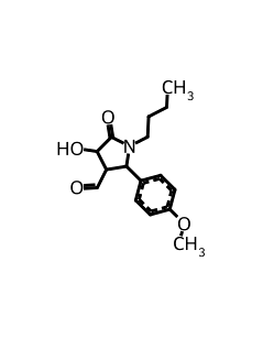 CCCCN1C(=O)C(O)C(C=O)C1c1ccc(OC)cc1